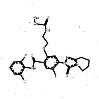 CC(C)(C)OC(=O)NCCOc1cc(-n2nc3n(c2=O)CCCC3)c(F)cc1C(=O)Nc1c(F)cccc1Cl